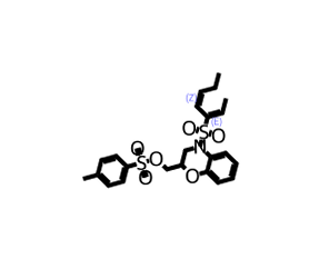 C/C=C(\C=C/CC)S(=O)(=O)N1CC(COS(=O)(=O)c2ccc(C)cc2)Oc2ccccc21